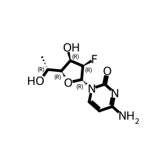 C[C@@H](O)[C@H]1O[C@@H](n2ccc(N)nc2=O)[C@H](F)[C@@H]1O